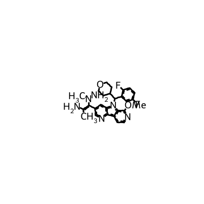 COc1nccc2c3ncc(/C(=C(\C)N)N(C)N)cc3n(C(c3cc(F)ccc3F)C3CCOCC3)c12